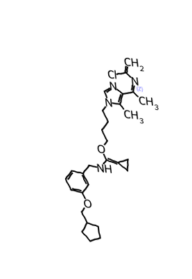 C=C(Cl)/N=C(/C)c1ncn(CCCCOC(NCc2cccc(OCC3CCCC3)c2)=C2CC2)c1C